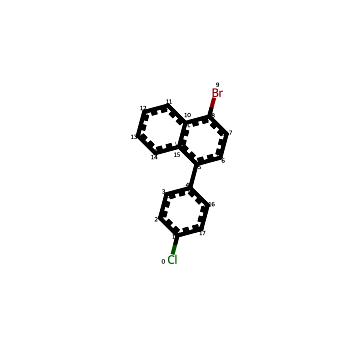 Clc1ccc(-c2ccc(Br)c3ccccc23)cc1